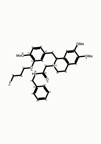 COc1cc2c(cc1OC)C(Cc1ccc(OC)c(OCCCF)c1)N(CC(=O)NCc1ccccc1)CC2